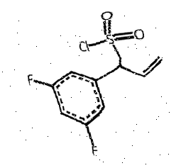 C=CC(c1cc(F)cc(F)c1)S(=O)(=O)Cl